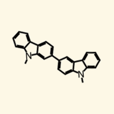 Cn1c2ccccc2c2cc(-c3ccc4c5ccccc5n(C)c4c3)ccc21